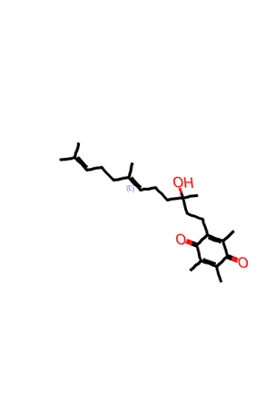 CC(C)=CCC/C(C)=C/CCC(C)(O)CCC1=C(C)C(=O)C(C)=C(C)C1=O